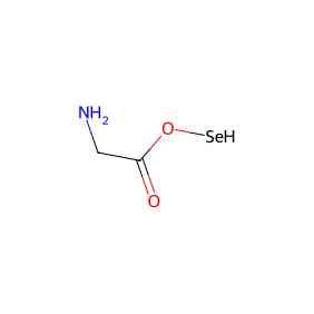 NCC(=O)O[SeH]